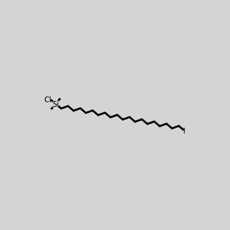 C[Si](C)(Cl)CCCCCCCCCCCCCCCCCCCCI